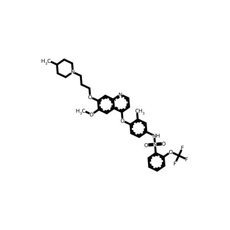 COc1cc2c(Oc3ccc(NS(=O)(=O)c4ccccc4OC(F)(F)F)cc3C)ccnc2cc1OCCCN1CCC(C)CC1